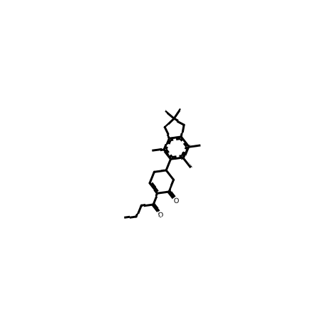 CCCC(=O)C1=CCC(c2c(C)c(C)c3c(c2C)CC(C)(C)C3)CC1=O